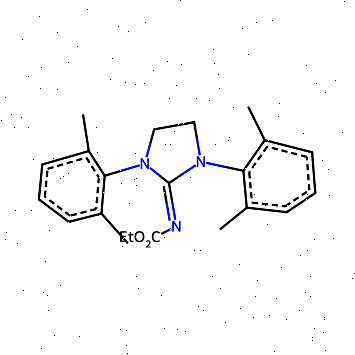 CCOC(=O)N=C1N(c2c(C)cccc2C)CCN1c1c(C)cccc1C